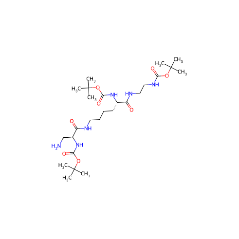 CC(C)(C)OC(=O)NCCNC(=O)[C@H](CCCCNC(=O)[C@H](CN)NC(=O)OC(C)(C)C)NC(=O)OC(C)(C)C